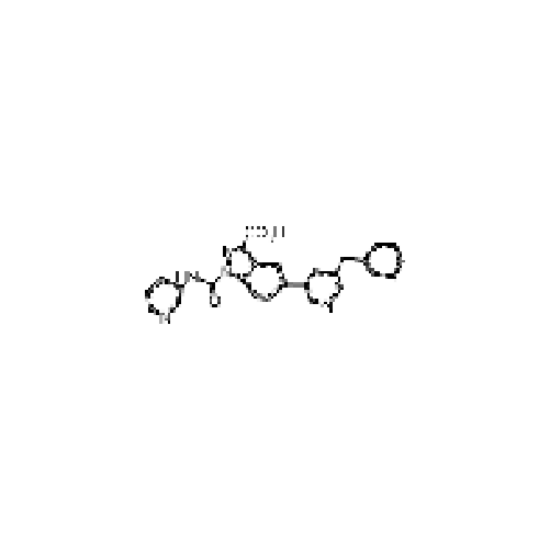 O=C(O)c1nn(C(=O)Nc2cccnc2)c2ccc(-c3cncc(Cc4ccccc4)c3)cc12